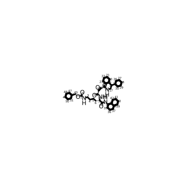 O=C(NCCCC[C@H](NC(=O)[C@H]1O[C@@H]1C(=O)NCC(c1ccccc1)c1ccccc1)C(=O)Nc1cccc2ccccc12)OCc1ccccc1